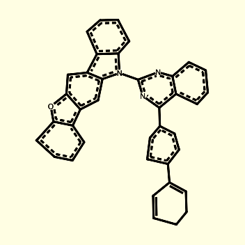 C1=CC(c2ccc(-c3nc(-n4c5ccccc5c5cc6oc7ccccc7c6cc54)nc4ccccc34)cc2)=CCC1